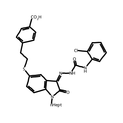 CCCCCCCN1C(=O)C(=NNC(=O)Nc2ccccc2Cl)c2cc(SCCc3ccc(C(=O)O)cc3)ccc21